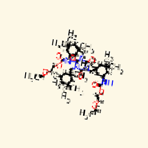 C=COCCOC(=O)NC1CC(C)(C)CC(C)(Cn2c(=O)n(CC3(C)CC(C)CC(C)(C)C3)c(=O)n(CC3(C)CC(NC(=O)OCCOC=C)CC(C)(C)C3)c2=O)C1